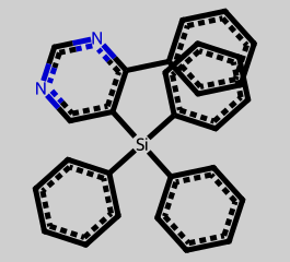 c1ccc(-c2ncncc2[Si](c2ccccc2)(c2ccccc2)c2ccccc2)cc1